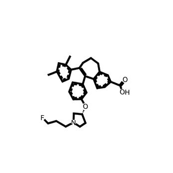 Cc1ccc(C2=C(c3cccc(O[C@@H]4CCN(CCCF)C4)c3)c3ccc(C(=O)O)cc3CCC2)c(C)c1